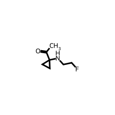 CC(=O)C1(NCCF)CC1